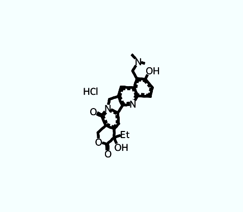 CCC1(O)C(=O)OCc2c1cc1n(c2=O)Cc2cc3c(CN(C)C)c(O)ccc3nc2-1.Cl